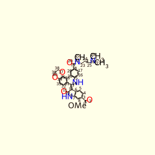 COC(=O)c1ccc2c(c1)NC(=O)C2=C(Nc1ccc(C(=O)N(C)CCCN(C)C)cc1)c1ccc2c(c1)OCCO2